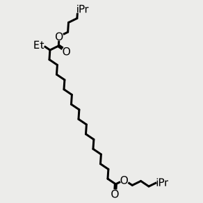 CCC(CCCCCCCCCCCCCCCCCC(=O)OCCCC(C)C)C(=O)OCCCC(C)C